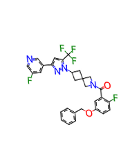 O=C(c1cc(OCc2ccccc2)ccc1F)N1CC2(CC(n3nc(-c4cncc(F)c4)cc3C(F)(F)F)C2)C1